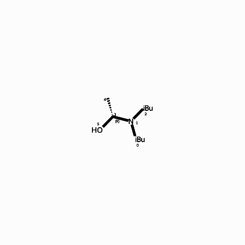 CCC(C)N(C(C)CC)[C@@H](C)O